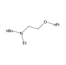 CCCCN(CC)CCOCCC